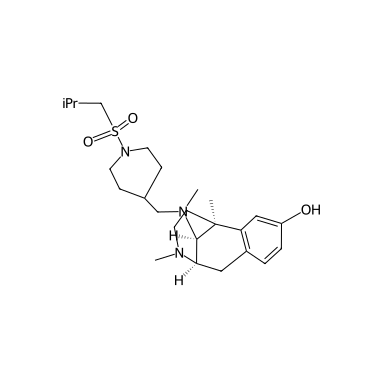 CC(C)CS(=O)(=O)N1CCC(CN(C)[C@@H]2[C@H]3Cc4ccc(O)cc4[C@]2(C)CCN3C)CC1